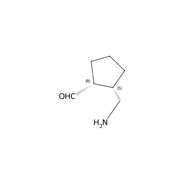 NC[C@H]1CCC[C@H]1C=O